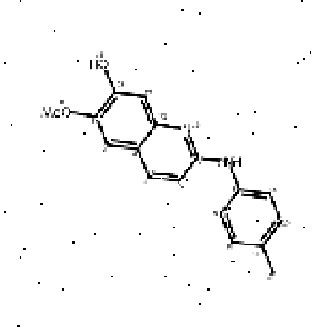 COc1cc2ccc(Nc3ccc(C)cc3)nc2cc1O